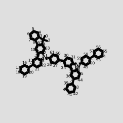 CC1(C)c2ccccc2-c2cc3c4cc(-c5ccccc5)ccc4n(-c4ccc(-c5ccc6c(c5)c5cc(-c7ccccc7)ccc5n6-c5ccc(-c6ccccc6)cc5)cc4)c3cc21